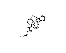 C=CCNC(=O)C(C)[C@]1(CC)CCCN2CCc3c([nH]c4ccccc34)[C@@H]21